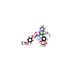 CCOc1ccc(OCC(=O)NC(CN2CCCC2)C(C)c2ccc3c(c2)OCCO3)cc1